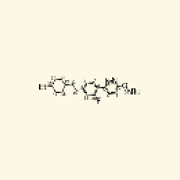 CCCCOc1ccc(-c2ccc(CCC3CCC(CC)CC3)cc2F)nn1